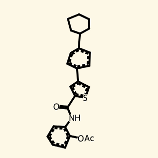 CC(=O)Oc1ccccc1NC(=O)c1cc(-c2ccc(C3CCCCC3)cc2)cs1